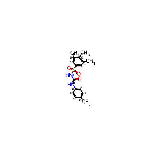 Cc1cc(S(=O)(=O)NC(=O)Nc2ccc(C(F)(F)F)cc2)cc(C)c1C